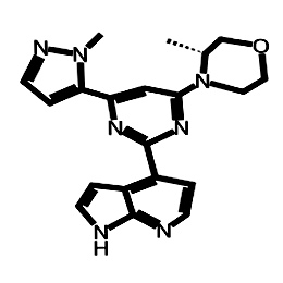 C[C@@H]1COCCN1c1cc(-c2ccnn2C)nc(-c2ccnc3[nH]ccc23)n1